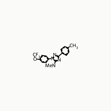 CNc1nc(-c2ccc(C)cc2)nn1-c1ccc(OC(F)(F)F)cc1